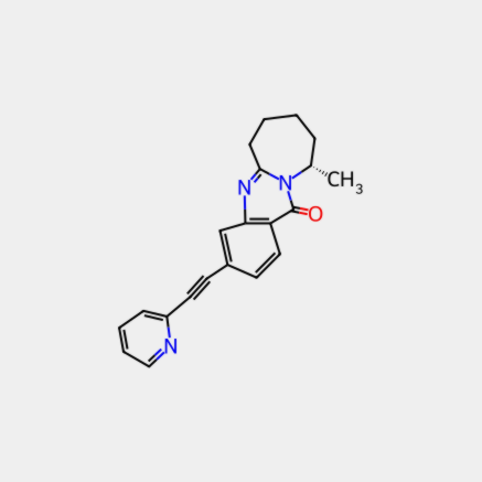 C[C@H]1CCCCc2nc3cc(C#Cc4ccccn4)ccc3c(=O)n21